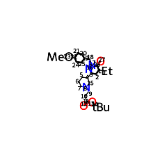 CCc1cc(C2CCCN(CCC(=O)OC(C)(C)C)C2)nn(Cc2ccc(OC)cc2)c1=O